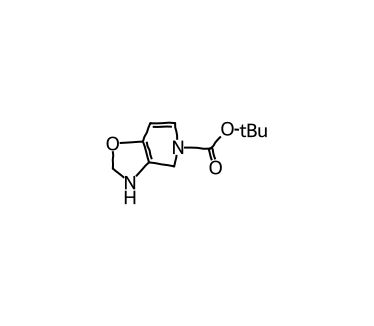 CC(C)(C)OC(=O)N1C=CC2=C(C1)NCO2